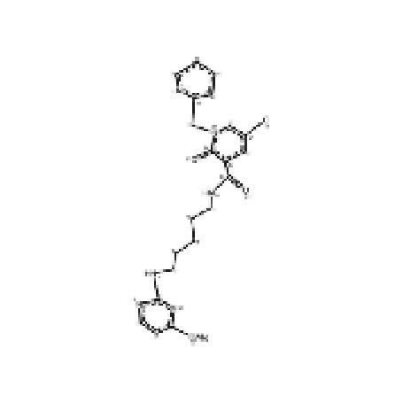 COc1ccnc(NCCCCCNC(=O)c2cc(Cl)cn(Cc3ccccn3)c2=O)n1